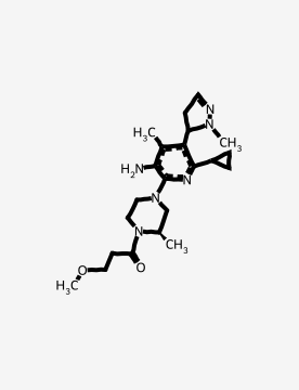 COCCC(=O)N1CCN(c2nc(C3CC3)c(C3CC=NN3C)c(C)c2N)C[C@H]1C